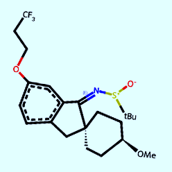 CO[C@H]1CC[C@]2(CC1)Cc1ccc(OCCC(F)(F)F)cc1/C2=N/[S+]([O-])C(C)(C)C